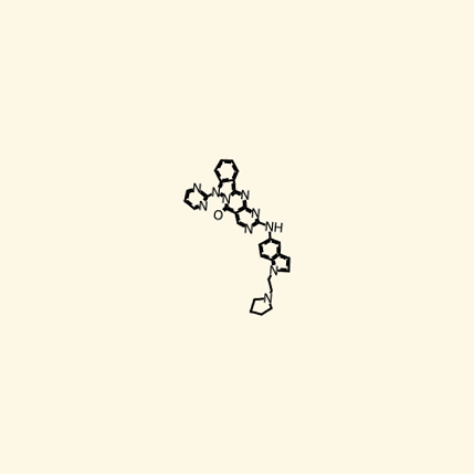 O=c1c2cnc(Nc3ccc4c(ccn4CCN4CCCC4)c3)nc2nc2c3ccccc3n(-c3ncccn3)n12